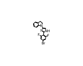 Fc1cc(Br)cc(F)c1-c1nc(N2CCc3ccccc32)c[nH]1